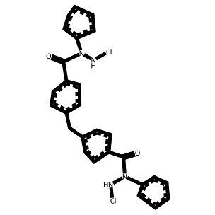 O=C(c1ccc(Cc2ccc(C(=O)N(NCl)c3ccccc3)cc2)cc1)N(NCl)c1ccccc1